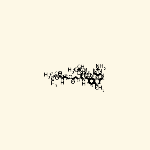 CN(Cc1cnc2nc(N)nc(N)c2n1)c1ccc(C(=O)N[C@H](CCC(=O)OCCNC(=O)OC(C)(C)C)C(=O)OC(C)(C)C)cc1